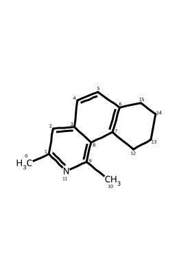 Cc1cc2ccc3c(c2c(C)n1)CCCC3